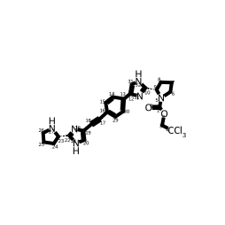 O=C(OCC(Cl)(Cl)Cl)N1CCC[C@H]1c1nc(-c2ccc(C#Cc3c[nH]c([C@@H]4CCCN4)n3)cc2)c[nH]1